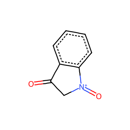 O=C1C[N+](=O)c2ccccc21